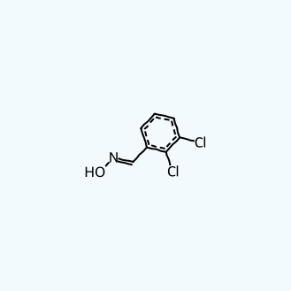 O/N=C/c1cccc(Cl)c1Cl